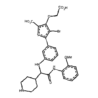 COc1ccccc1NC(=O)C(Nc1cccc(-c2sc(C(=O)O)c(OCC(=O)O)c2Br)c1)C1CCNCC1